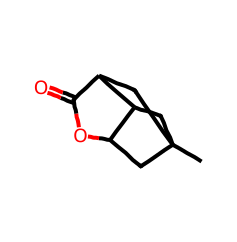 CC12CC3OC(=O)C(C1)C3C2